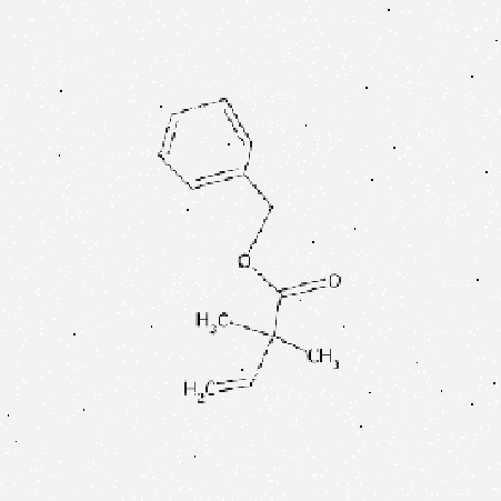 C=CC(C)(C)C(=O)OCc1ccccc1